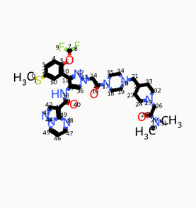 CSc1ccc(OC(F)F)c(-c2nn(CC(=O)N3CCN(CC4CCN(CC(=O)N(C)C)CC4)CC3)cc2NC(=O)c2cnn3cccnc23)c1